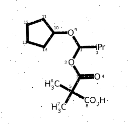 CC(C)C(OC(=O)C(C)(C)C(=O)O)OC1CCCC1